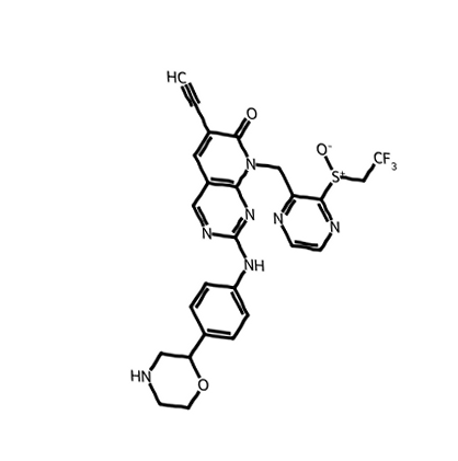 C#Cc1cc2cnc(Nc3ccc(C4CNCCO4)cc3)nc2n(Cc2nccnc2[S+]([O-])CC(F)(F)F)c1=O